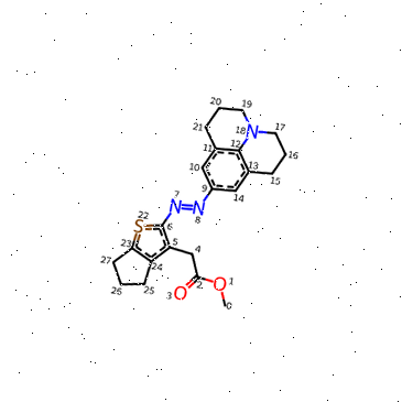 COC(=O)Cc1c(N=Nc2cc3c4c(c2)CCCN4CCC3)sc2c1CCC2